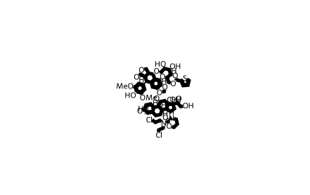 COc1cc([C@@H]2c3cc4c(cc3C(O[C@@H]3O[C@@H]5COC(c6cccs6)O[C@H]5[C@H](O)[C@H]3O)C3COC(=O)[C@@H]32)OCO4)cc(OC)c1O.C[C@]12C=CC(=O)C=C1CC[C@@H]1[C@@H]2C(=O)C[C@@]2(C)[C@H]1CC[C@]2(O)C(=O)CO.O=P1(N(CCCl)CCCl)NCCCO1